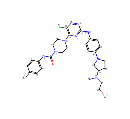 CC(=O)c1ccc(NC(=O)N2CCN(c3nc(Nc4ccc(N5CCC(N(C)CCO)C5)cc4)ncc3Cl)CC2)cc1